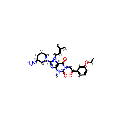 CCOc1cccc(C(=O)Cn2c(=O)c3c(nc(N4CCCC(N)C4)n3CC=C(C)C)n(C)c2=O)c1